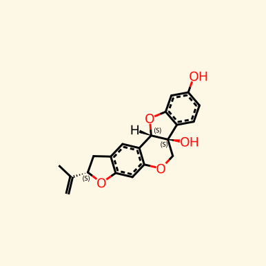 C=C(C)[C@@H]1Cc2cc3c(cc2O1)OC[C@@]1(O)c2ccc(O)cc2O[C@@H]31